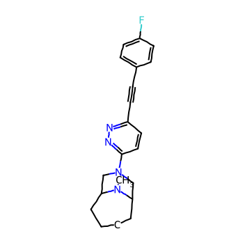 CN1C2CCCCC1CN(c1ccc(C#Cc3ccc(F)cc3)nn1)C2